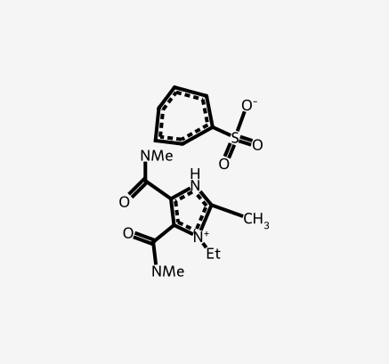 CC[n+]1c(C)[nH]c(C(=O)NC)c1C(=O)NC.O=S(=O)([O-])c1ccccc1